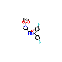 CC(C)(C)OC(=O)N1CCC(CC(=O)NC(c2ccc(F)cc2)c2ccc(F)cc2)C1